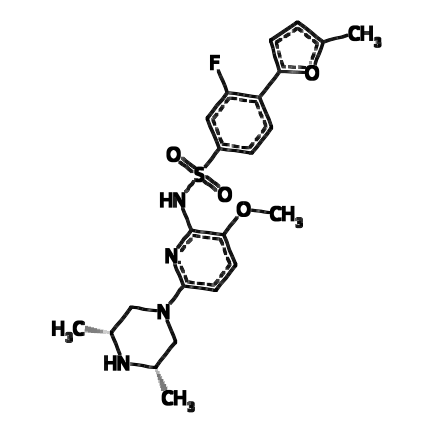 COc1ccc(N2C[C@@H](C)N[C@@H](C)C2)nc1NS(=O)(=O)c1ccc(-c2ccc(C)o2)c(F)c1